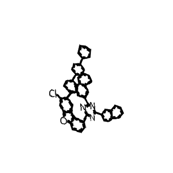 Clc1cc2oc3cccc(-c4nc(-c5ccc6ccccc6c5)nc(-c5ccc6ccccc6c5)n4)c3c2cc1-c1ccc(-c2ccc(-c3ccccc3)cc2)cc1